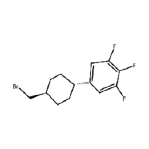 Fc1cc([C@H]2CC[C@H](CBr)CC2)cc(F)c1F